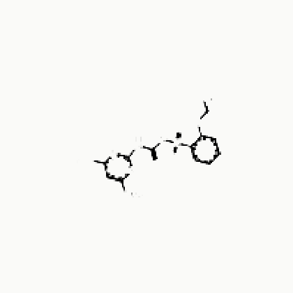 COc1cc(OC)nc(NC(=O)NS(=O)(=O)c2ccccc2SCC#N)n1